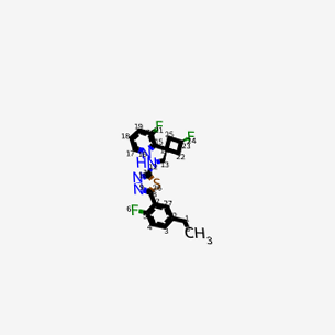 CCc1ccc(F)c(-c2nnc(NC[C@]3(c4ncccc4F)C[C@H](F)C3)s2)c1